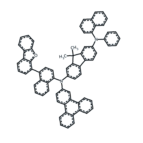 CC1(C)c2cc(N(c3ccccc3)c3cccc4ccccc34)ccc2-c2ccc(N(c3ccc4c5ccccc5c5ccccc5c4c3)c3ccc(-c4cccc5c4oc4ccccc45)c4ccccc34)cc21